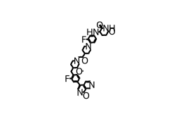 COc1cc(-c2cn(C)c(=O)c3cnccc23)cc(F)c1CC1CCN(CC(=O)C2CCN(c3ccc(NC4CCC(=O)NC4=O)cc3F)CC2)CC1